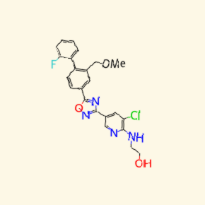 COCc1cc(-c2nc(-c3cnc(NCCO)c(Cl)c3)no2)ccc1-c1ccccc1F